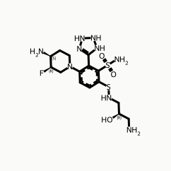 NC[C@@H](O)CNSc1ccc(N2CC[C@H](N)[C@H](F)C2)c(C2=NNNN2)c1S(N)(=O)=O